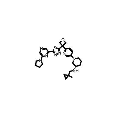 CC1(CN[C@@H]2CCCN(c3ccc(C4(c5nnc(-c6cncc(N7CCCC7)n6)s5)COC4)nc3)C2)CC1